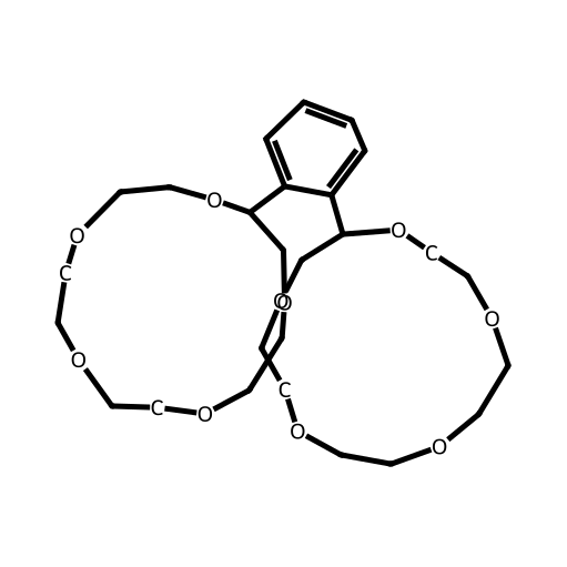 c1ccc(C2COCCOCCOCCOCCO2)c(C2COCCOCCOCCOCCO2)c1